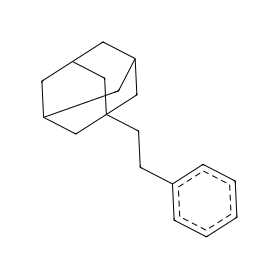 c1ccc(CCC23CC4CC(CC(C4)C2)C3)cc1